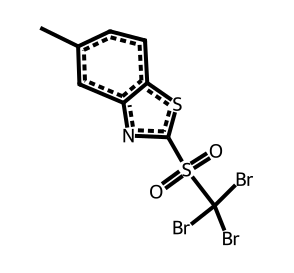 Cc1ccc2sc(S(=O)(=O)C(Br)(Br)Br)nc2c1